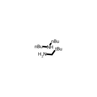 CC(C)(C)CN.CCCCNCCCC